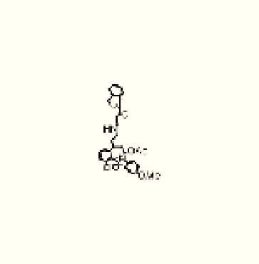 COc1ccc(N2C(OC(C)=O)CC(CCNCCC(=O)N3CCc4ccccc4C3)c3cccc(Cl)c3[S+]2[O-])cc1